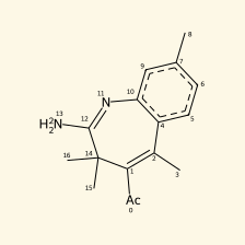 CC(=O)C1=C(C)c2ccc(C)cc2N=C([2NH2])C1(C)C